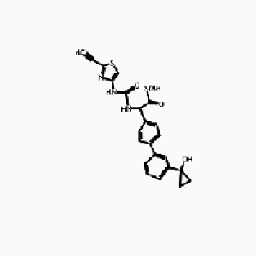 C#Cc1nc(NC(=O)NC(C(=O)NC)c2ccc(-c3cccc(C4(O)CC4)c3)cc2)cs1